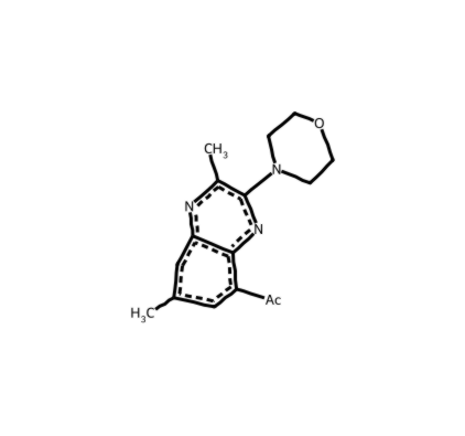 CC(=O)c1cc(C)cc2nc(C)c(N3CCOCC3)nc12